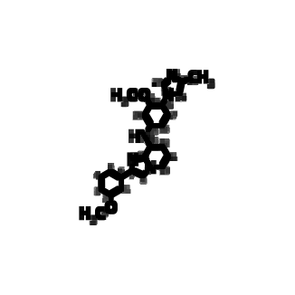 COc1cccc(-c2cn3cccc(Nc4ccc(-n5cnc(C)c5)c(OC)c4)c3n2)c1